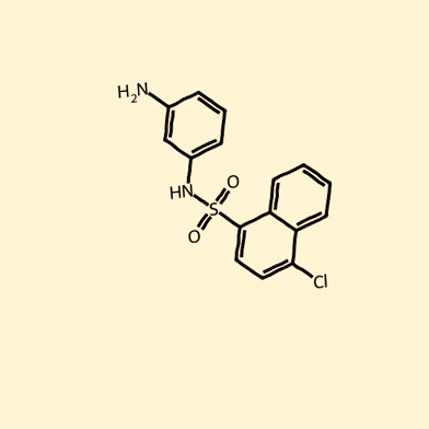 Nc1cccc(NS(=O)(=O)c2ccc(Cl)c3ccccc23)c1